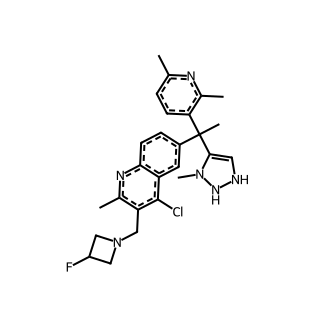 Cc1ccc(C(C)(C2=CNNN2C)c2ccc3nc(C)c(CN4CC(F)C4)c(Cl)c3c2)c(C)n1